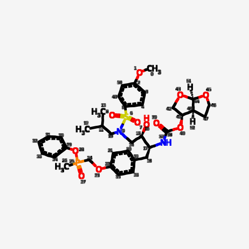 COc1ccc(S(=O)(=O)N(CC(C)C)C[C@@H](O)[C@H](Cc2ccc(OCP(C)(=O)Oc3ccccc3)cc2)NC(=O)O[C@H]2CO[C@H]3OCC[C@H]32)cc1